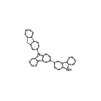 c1ccc2c(c1)Cc1cc(-n3c4ccccc4c4cc(-c5ccc6[nH]c7ccccc7c6c5)ccc43)ccc1-2